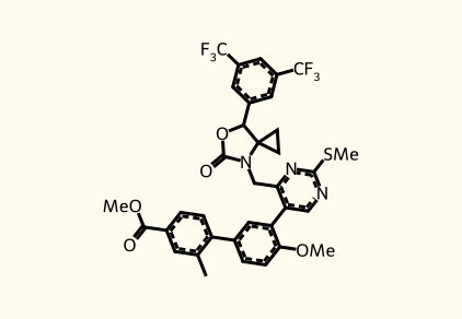 COC(=O)c1ccc(-c2ccc(OC)c(-c3cnc(SC)nc3CN3C(=O)OC(c4cc(C(F)(F)F)cc(C(F)(F)F)c4)C34CC4)c2)c(C)c1